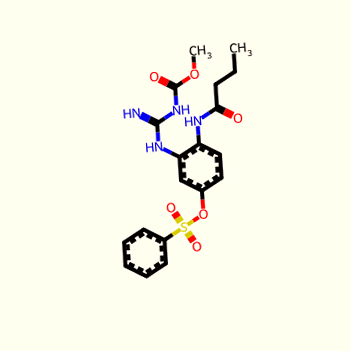 CCCC(=O)Nc1ccc(OS(=O)(=O)c2ccccc2)cc1NC(=N)NC(=O)OC